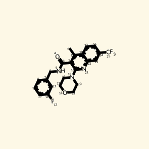 Cc1c(C(=O)NCc2cccc(F)c2)c(N2CCOCC2)nc2cc(C(F)(F)F)ccc12